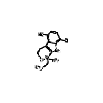 CCC[C@@]1(CC(=O)O)OCCc2c1[nH]c1c(Cl)ccc(C#N)c21